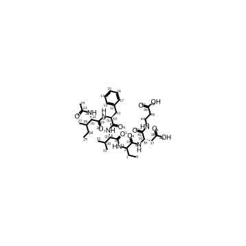 CCC(NC(=O)[C@@H](NC(=O)[C@H](Cc1ccccc1)NC(=O)[C@@H](NC(C)=O)C(C)CC)C(C)C)C(=O)N[C@@H](CC(=O)O)C(=O)NCCC(=O)O